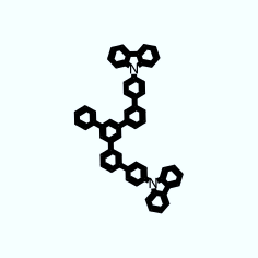 c1ccc(-c2cc(-c3cccc(-c4ccc(-n5c6ccccc6c6ccccc65)cc4)c3)cc(-c3cccc(-c4ccc(-n5c6ccccc6c6ccccc65)cc4)c3)c2)cc1